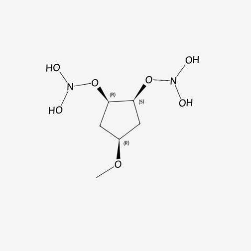 CO[C@@H]1C[C@H](ON(O)O)[C@H](ON(O)O)C1